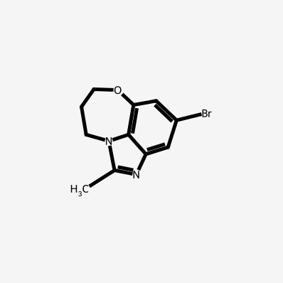 Cc1nc2cc(Br)cc3c2n1CCCO3